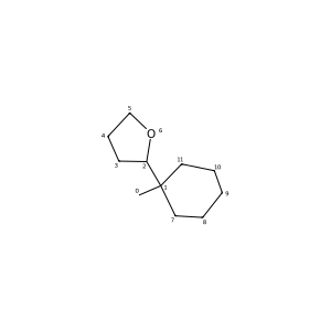 CC1(C2CCCO2)CCCCC1